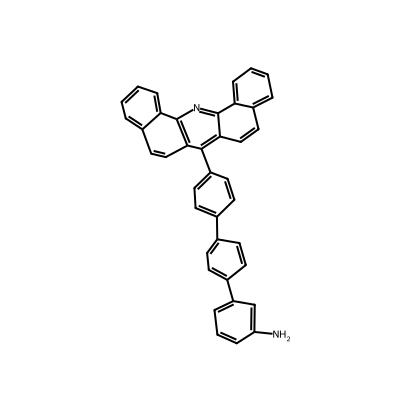 Nc1cccc(-c2ccc(-c3ccc(-c4c5ccc6ccccc6c5nc5c4ccc4ccccc45)cc3)cc2)c1